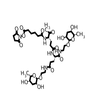 CC(=O)[C@H](CCC(=O)N[C@@H](CCC(=O)NCCO[C@@H]1O[C@@H](C)[C@@H](O)C[C@@H]1O)C(=O)NCCO[C@@H]1O[C@@H](C)[C@@H](O)C[C@@H]1O)NC(=O)CCCCC(=O)ON1C(=O)CCC1=O